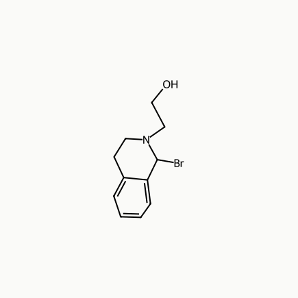 OCCN1CCc2ccccc2C1Br